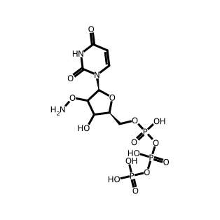 NOC1C(O)[C@H](COP(=O)(O)OP(=O)(O)OP(=O)(O)O)O[C@@H]1n1ccc(=O)[nH]c1=O